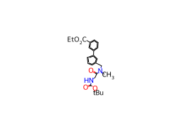 CCOC(=O)c1cccc(-c2cccc(CN(C)C(=O)CNC(=O)OC(C)(C)C)c2)c1